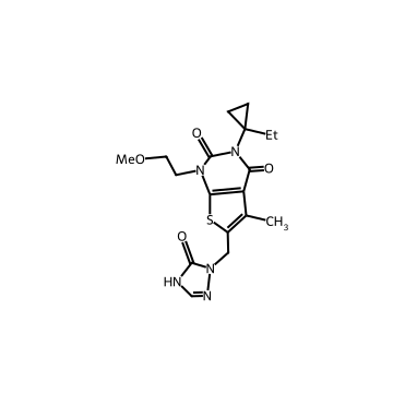 CCC1(n2c(=O)c3c(C)c(Cn4nc[nH]c4=O)sc3n(CCOC)c2=O)CC1